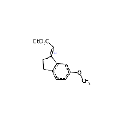 CCOC(=O)/C=C1\CCc2ccc(OC(F)(F)F)cc21